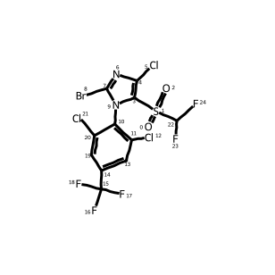 O=S(=O)(c1c(Cl)nc(Br)n1-c1c(Cl)cc(C(F)(F)F)cc1Cl)C(F)F